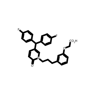 O=C(O)COc1cccc(CCCn2cc(C(c3ccc(F)cc3)c3ccc(F)cc3)ccc2=O)c1